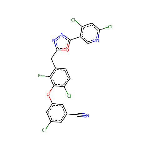 N#Cc1cc(Cl)cc(Oc2c(Cl)ccc(Cc3nnc(-c4cnc(Cl)cc4Cl)o3)c2F)c1